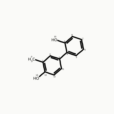 Cc1cc(-c2cc[c]cc2O)ccc1O